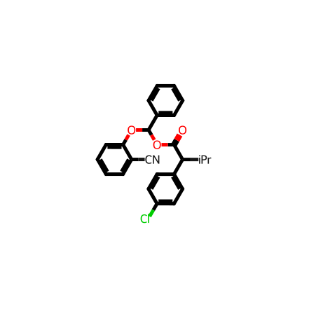 CC(C)C(C(=O)OC(Oc1ccccc1C#N)c1ccccc1)c1ccc(Cl)cc1